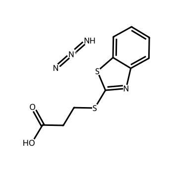 O=C(O)CCSc1nc2ccccc2s1.[N-]=[N+]=N